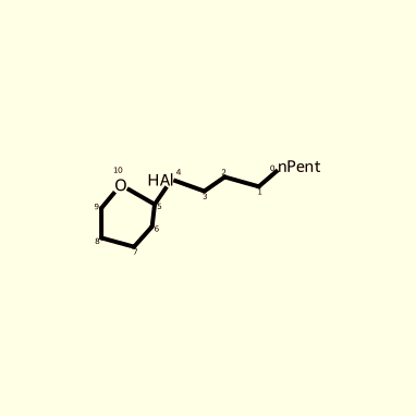 CCCCCCC[CH2][AlH][CH]1CCCCO1